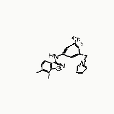 Cc1ccc2c(Nc3cc(CN4CCCC4)cc(C(F)(F)F)c3)noc2c1I